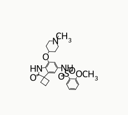 COc1ccccc1S(=O)(=O)Nc1cc(OC2CCN(C)CC2)c2c(c1)C1(CCC1)C(=O)N2